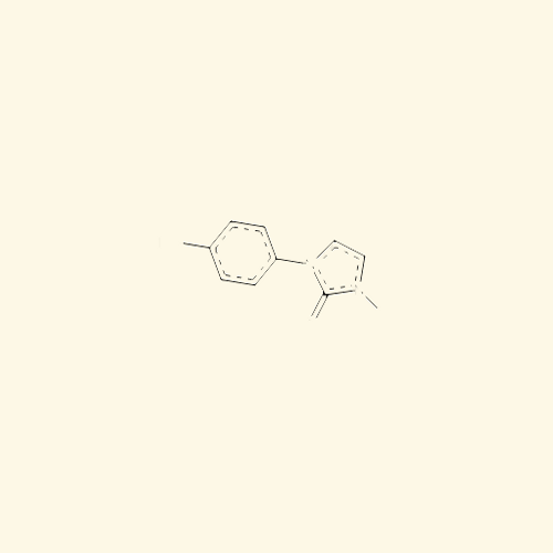 CCn1ccn(-c2ccc(O)cc2)c1=O